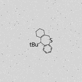 CC(C)(C)C1C2=C(CCCC2)CSc2ccccc21